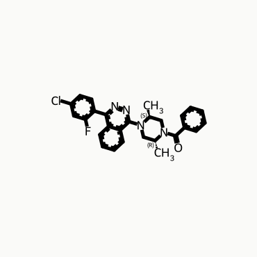 C[C@@H]1CN(c2nnc(-c3ccc(Cl)cc3F)c3ccccc23)[C@@H](C)CN1C(=O)c1ccccc1